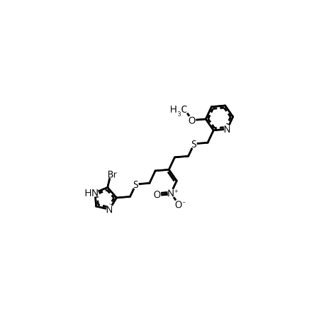 COc1cccnc1CSCCC(=C[N+](=O)[O-])CCSCc1nc[nH]c1Br